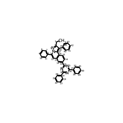 CCc1nn2c(-c3ccccc3)cc3cc(-c4nc(-c5ccccc5)nc(-c5ccccc5)n4)ccc3c2c1-c1ccccc1